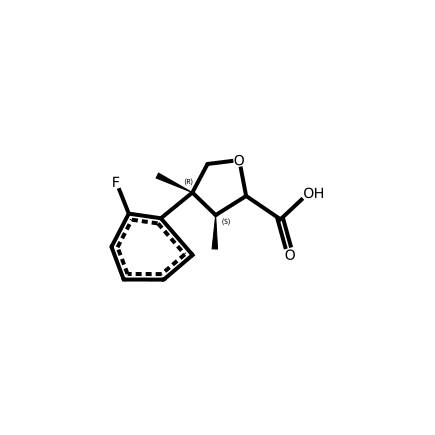 C[C@@H]1C(C(=O)O)OC[C@@]1(C)c1ccccc1F